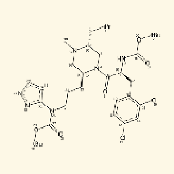 CC(C)C[C@@H]1CN(C(=O)[C@H](Cc2ccc(Cl)cc2Cl)NC(=O)OC(C)(C)C)[C@@H](CCCN(C(=O)OC(C)(C)C)c2nncs2)CN1C